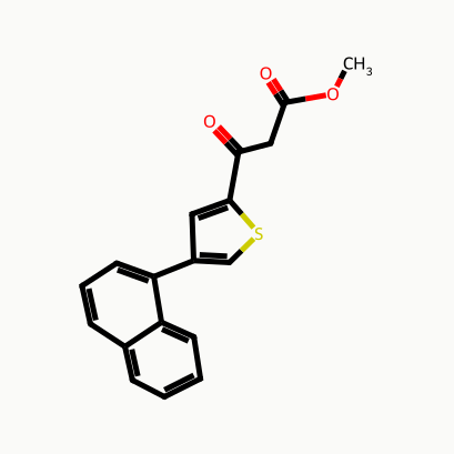 COC(=O)CC(=O)c1cc(-c2cccc3ccccc23)cs1